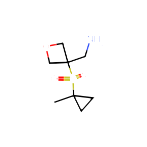 CC1(S(=O)(=O)C2(CN)COC2)CC1